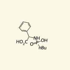 CCCCP(=O)(O)NC(C(=O)O)c1ccccc1